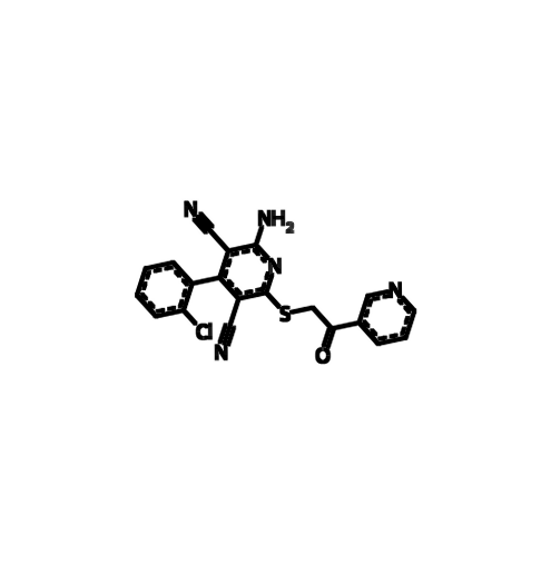 N#Cc1c(N)nc(SCC(=O)c2cccnc2)c(C#N)c1-c1ccccc1Cl